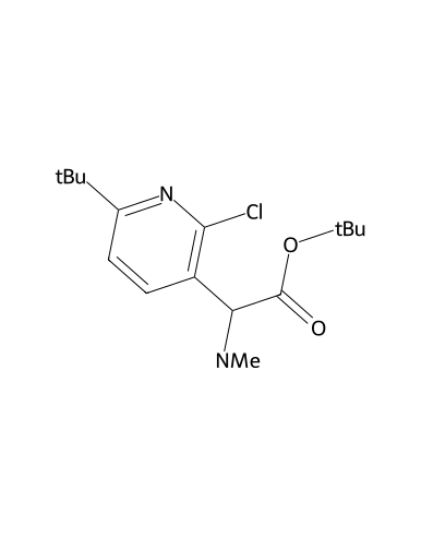 CNC(C(=O)OC(C)(C)C)c1ccc(C(C)(C)C)nc1Cl